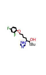 CC(C)(C)C(O)C(CCCCOc1ccc(F)cc1F)n1cncn1